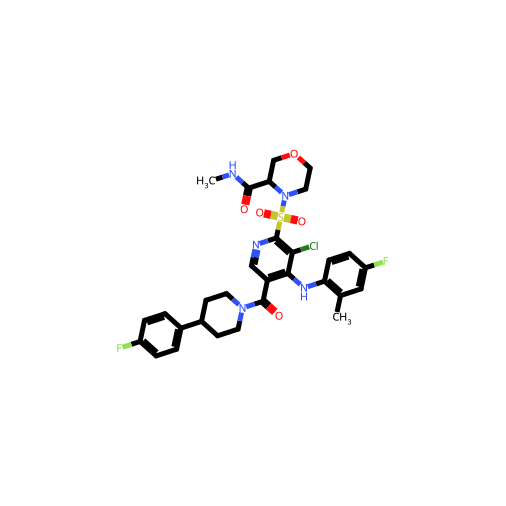 CNC(=O)C1COCCN1S(=O)(=O)c1ncc(C(=O)N2CCC(c3ccc(F)cc3)CC2)c(Nc2ccc(F)cc2C)c1Cl